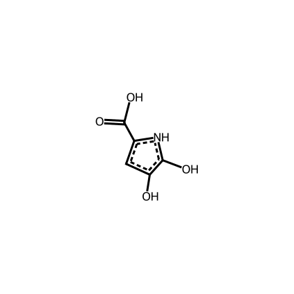 O=C(O)c1cc(O)c(O)[nH]1